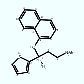 [2H][C@@](CCNC)(Oc1cccc2ccccc12)c1cccs1